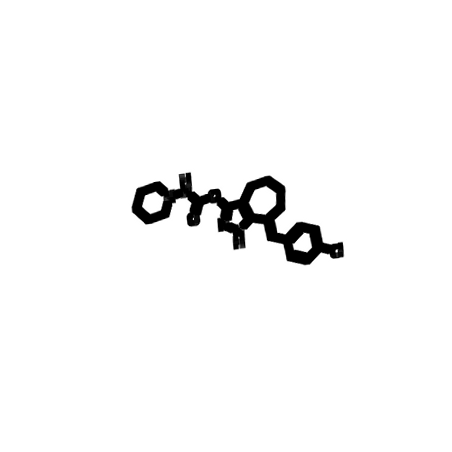 O=C(NN1CCCCC1)Oc1n[nH]c2c1CCCC/C2=C\c1ccc(Cl)cc1